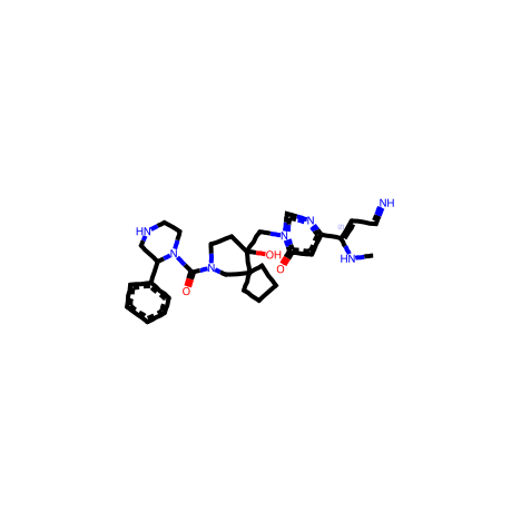 CN/C(=C\C=N)c1cc(=O)n(CC2(O)CCN(C(=O)N3CCNCC3c3ccccc3)CC23CCCC3)cn1